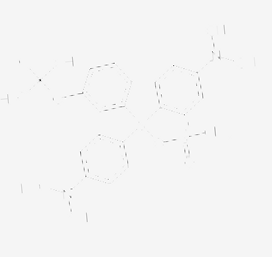 CN(C)c1ccc(S(OS(C)(=O)=O)(c2ccc(N(C)C)cc2)c2cccc(OC(C)(C)C)c2)cc1